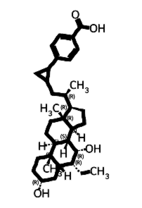 CC[C@H]1[C@@H](O)[C@@H]2[C@H](CC[C@]3(C)[C@@H]([C@H](C)CC4CC4c4ccc(C(=O)O)cc4)CC[C@@H]23)[C@@]2(C)CC[C@@H](O)C[C@@H]12